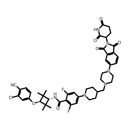 CC1(C)[C@H](NC(=O)c2c(F)cc(N3CCC(CN4CCN(c5ccc6c(c5)C(=O)N(C5CCC(=O)NC5=O)C6=O)CC4)CC3)cc2F)C(C)(C)[C@H]1Oc1ccc(C#N)c(Cl)c1